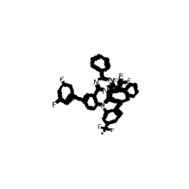 Fc1cc(F)cc(-c2ccc(-n3c4cc(C(F)(F)F)ccc4c4ccc(C(F)(F)F)cc43)c(-c3nc(-c4ccccc4)nc(-c4ccccc4)n3)c2)c1